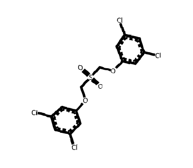 O=S(=O)(COc1cc(Cl)cc(Cl)c1)COc1cc(Cl)cc(Cl)c1